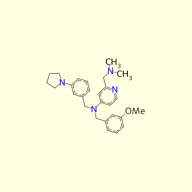 COc1cccc(CN(Cc2cccc(N3CCCC3)c2)c2ccnc(CN(C)C)c2)c1